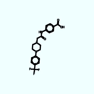 O=C(CN1CCN(c2ccc(C(F)(F)F)cc2)CC1)Nc1ccc(C(=O)O)cc1